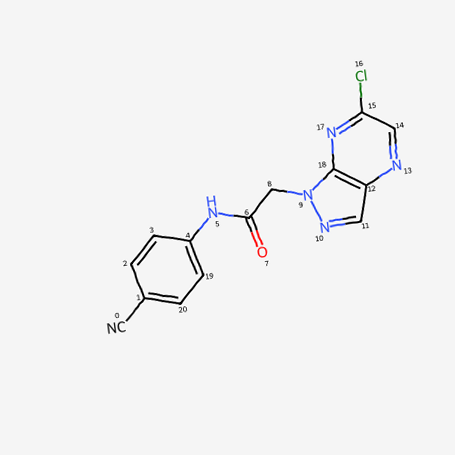 N#Cc1ccc(NC(=O)Cn2ncc3ncc(Cl)nc32)cc1